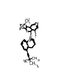 Cn1nnc2nc(N3CCCc4c(C#CC(C)(C)C#N)cccc43)c3c(F)cncc3c21